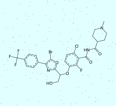 CN1CCC(C(=O)NC(=O)c2c(Cl)ccc(OC(CO)c3nc(-c4ccc(C(F)(F)F)cc4)c(Br)o3)c2F)CC1